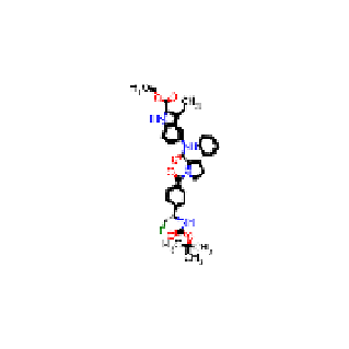 CCOC(=O)c1[nH]c2ccc(NC(=O)[C@H]3[C@H](C4CCCCC4)CCN3C(=O)C3CCC([C@@H](CF)NC(=O)OC(C)(C)C)CC3)cc2c1CC